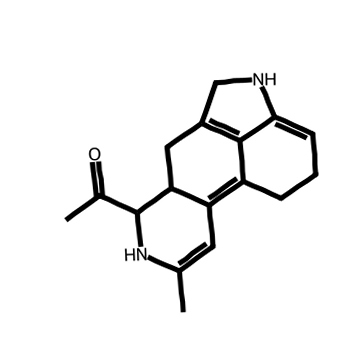 CC(=O)C1NC(C)=CC2=C3CCC=C4NCC(=C43)CC21